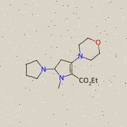 CCOC(=O)C1=C(N2CCOCC2)CC(N2CCCC2)N1C